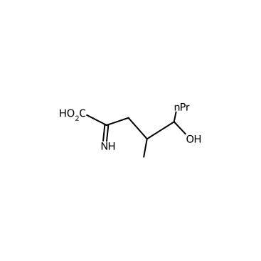 CCCC(O)C(C)CC(=N)C(=O)O